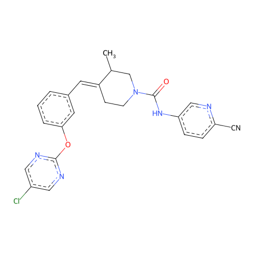 CC1CN(C(=O)Nc2ccc(C#N)nc2)CCC1=Cc1cccc(Oc2ncc(Cl)cn2)c1